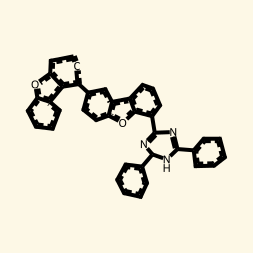 c1ccc(C2=NC(c3cccc4c3oc3ccc(-c5cccc6oc7ccccc7c56)cc34)=NC(c3ccccc3)N2)cc1